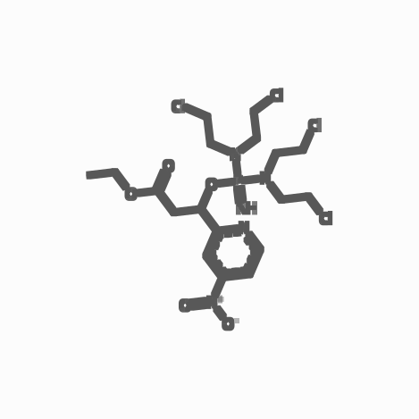 CCOC(=O)CC(OP(=N)(N(CCCl)CCCl)N(CCCl)CCCl)c1cc([N+](=O)[O-])ccn1